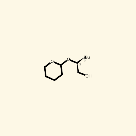 CC[C@H](C)[C@@H](CO)OC1CCCCO1